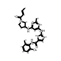 CC=CC(=O)N1CCC(Nc2cc(Nc3ncc(C(=O)Nc4c(C)cccc4Cl)s3)nc(C)n2)C1